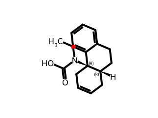 CCN(C(=O)O)[C@]12CC=CC[C@H]1CCc1ccccc12